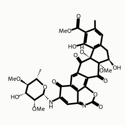 COC(=O)c1c(C)cc2c(c1O)[C@]1(O)C(=O)c3cc4c5c(nc(=O)oc5c3C(=O)[C@]1(OC)[C@H](O)C2)C=C(N[C@H]1O[C@@H](C)[C@H](OC)[C@@H](O)[C@H]1OC)C4=O